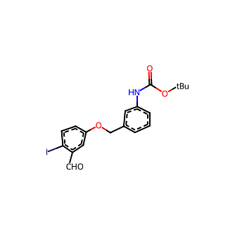 CC(C)(C)OC(=O)Nc1cccc(COc2ccc(I)c(C=O)c2)c1